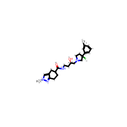 Cn1cc2c(n1)CCC(C(=O)NCC[C@@H](O)CN1CCC(F)(c3cccc(C(F)(F)F)c3)C1)C2